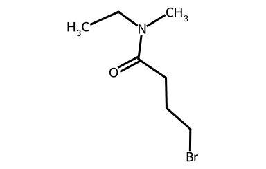 CCN(C)C(=O)CCCBr